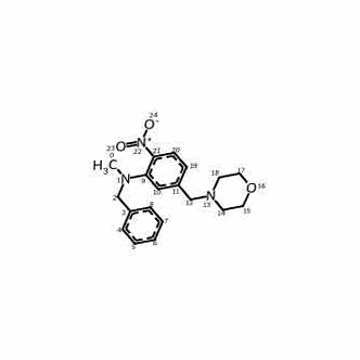 CN(Cc1ccccc1)c1cc(CN2CCOCC2)ccc1[N+](=O)[O-]